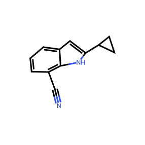 N#Cc1cccc2cc(C3CC3)[nH]c12